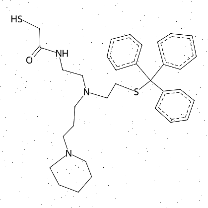 O=C(CS)NCCN(CCCN1CCCCC1)CCSC(c1ccccc1)(c1ccccc1)c1ccccc1